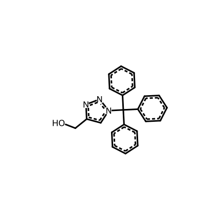 OCc1cn(C(c2ccccc2)(c2ccccc2)c2ccccc2)nn1